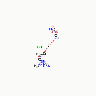 C[C@@H](NC(=O)c1cccc(NC2(c3nnc(-c4ccncc4)[nH]3)CCN(C)CC2)c1)c1cccc(OCCCCCOCCCOCCNc2ccc3c(c2)CN(C2CCC(=O)NC2=O)C3=O)c1.Cl